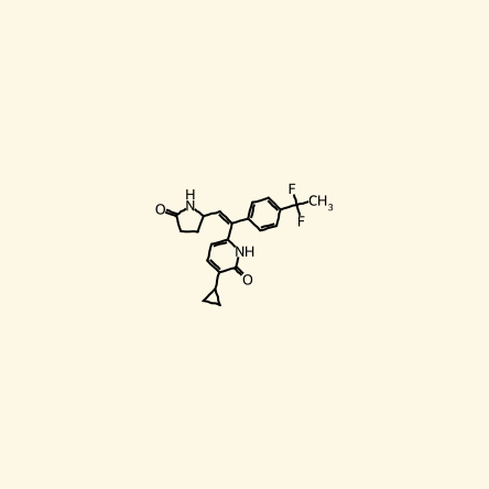 CC(F)(F)c1ccc(C(=CC2CCC(=O)N2)c2ccc(C3CC3)c(=O)[nH]2)cc1